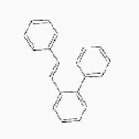 C(=C\c1ccccc1-c1ccccc1)/c1ccccc1